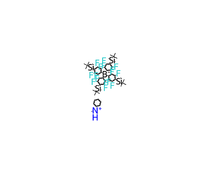 CC(C)(C)[Si](C)(C)c1c(F)c(F)c([B-](c2c(F)c(F)c([Si](C)(C)C(C)(C)C)c(F)c2F)(c2c(F)c(F)c([Si](C)(C)C(C)(C)C)c(F)c2F)c2c(F)c(F)c([Si](C)(C)C(C)(C)C)c(F)c2F)c(F)c1F.C[NH+](C)c1ccccc1